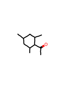 CC(=O)C1C(C)CC(C)CC1C